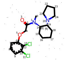 CN(C(=O)COc1cccc(Cl)c1Cl)[C@@H]1CCCC[C@H]1N1CCCC1